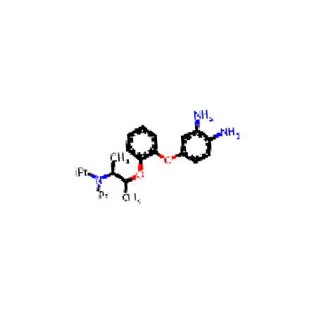 CC(Oc1ccccc1Oc1ccc(N)c(N)c1)C(C)N(C(C)C)C(C)C